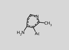 CC(=O)c1c(N)ccnc1C